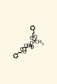 CC1(COC(=O)OCC2(C)COC(C=Cc3ccccc3)OC2)COC(C=Cc2ccccc2)OC1